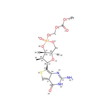 CC(C)OC(=O)OCOP1(=O)OC[C@H]2O[C@@H](c3scc4c(=O)[nH]c(N)nc34)[C@@H](C)[C@@H]2O1